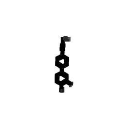 CCCCC#Cc1ccc(-c2ccc(Cl)c(F)c2)cc1